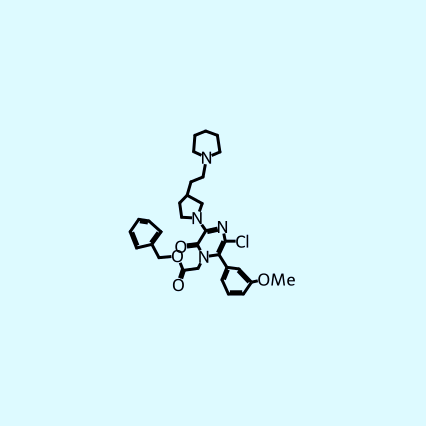 COc1cccc(-c2c(Cl)nc(N3CCC(CCN4CCCCC4)C3)c(=O)n2CC(=O)OCc2ccccc2)c1